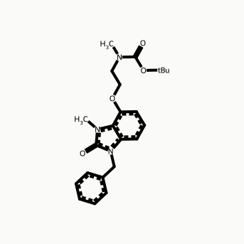 CN(CCOc1cccc2c1n(C)c(=O)n2Cc1ccccc1)C(=O)OC(C)(C)C